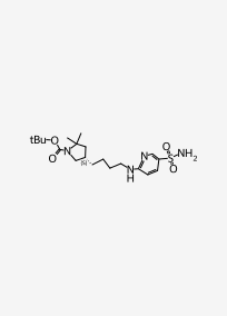 CC(C)(C)OC(=O)N1C[C@@H](CCCCNc2ccc(S(N)(=O)=O)cn2)CC1(C)C